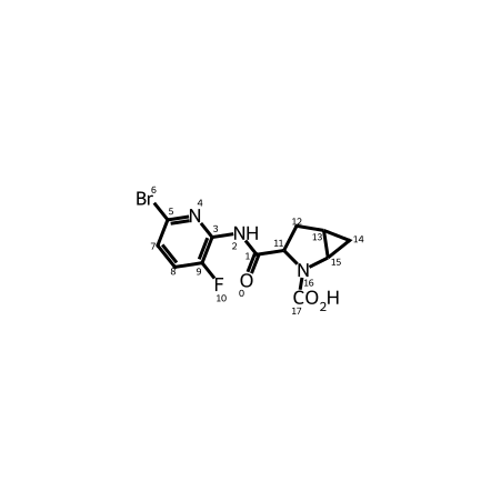 O=C(Nc1nc(Br)ccc1F)C1CC2CC2N1C(=O)O